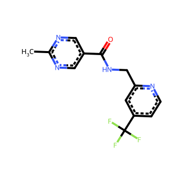 Cc1ncc(C(=O)NCc2cc(C(F)(F)F)ccn2)cn1